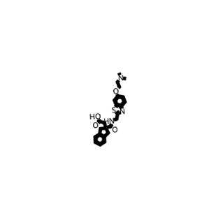 CN(C)CCOc1ccc2nc(CNC(=O)C3(CC(=O)O)Cc4ccccc4C3)sc2c1